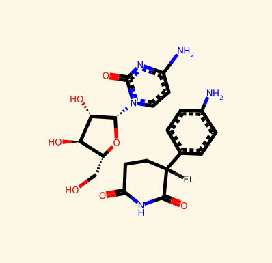 CCC1(c2ccc(N)cc2)CCC(=O)NC1=O.Nc1ccn([C@@H]2O[C@H](CO)[C@@H](O)[C@@H]2O)c(=O)n1